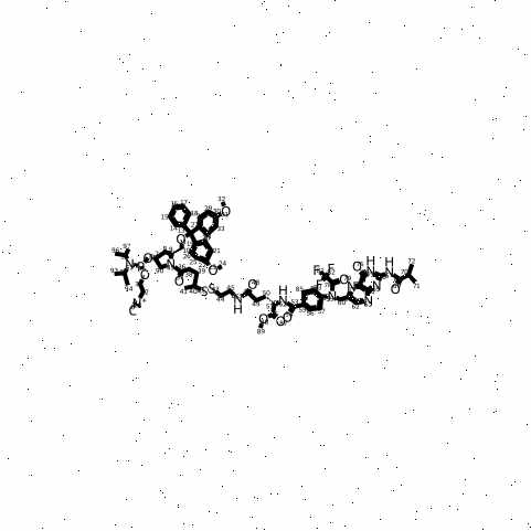 [C-]#[N+]CCOP(O[C@@H]1C[C@@H](COC(c2ccccc2)(c2ccc(OC)cc2)c2ccc(OC)cc2)N(C(=O)CCC(C)SSCCNC(=O)CC[C@H](NC(=O)c2ccc(N(Cc3cnc4nc(NC(=O)C(C)C)[nH]c(=O)c4n3)C(=O)C(F)(F)F)cc2)C(=O)OC)C1)N(C(C)C)C(C)C